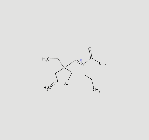 C=CCC(/C=C(\CCC)C(C)=O)(CC)CC